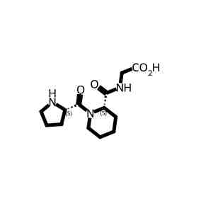 O=C(O)CNC(=O)[C@@H]1CCCCN1C(=O)[C@@H]1CCCN1